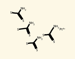 NC(=S)[S-].NC(=S)[S-].NC(=S)[S-].NC(=S)[S-].[Pt+4]